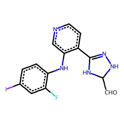 O=CC1NN=C(c2ccncc2Nc2ccc(I)cc2F)N1